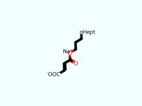 CCCCCCCCCCOC(=O)C=CC(=O)[O-].[Na+]